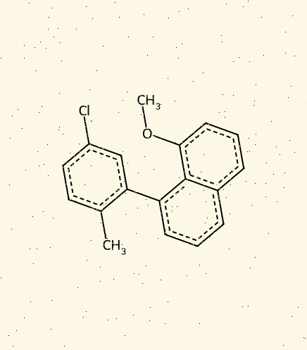 COc1cccc2cccc(-c3cc(Cl)ccc3C)c12